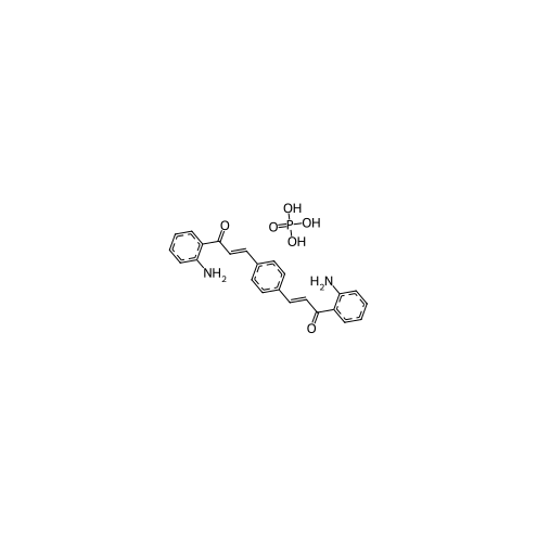 Nc1ccccc1C(=O)/C=C/c1ccc(/C=C/C(=O)c2ccccc2N)cc1.O=P(O)(O)O